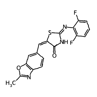 Cc1nc2ccc(C=C3SC(=Nc4c(F)cccc4F)NC3=O)cc2o1